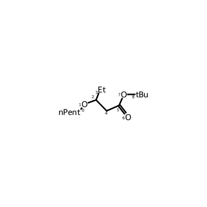 CCCCCOC(CC)CC(=O)OC(C)(C)C